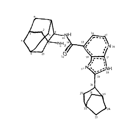 NC12CC3CC(CC(C3)C1NC(=O)c1ccnc3[nH]c(C4CC5CCC4C5)nc13)C2